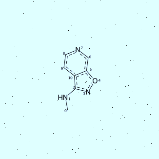 CNc1noc2cnccc12